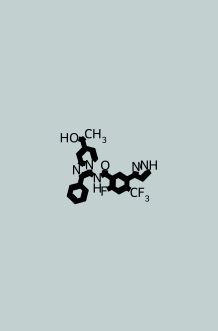 CC(O)c1ccn2c(NC(=O)c3cc(-c4cc[nH]n4)c(C(F)(F)F)cc3F)c(-c3ccccc3)nc2c1